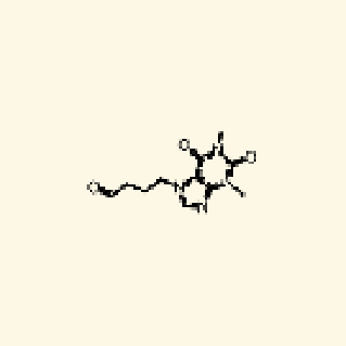 Cn1c(=O)c2c(ncn2CCCC=O)n(C)c1=O